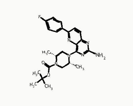 C[C@@H]1CN(c2nc(N)nc3ccc(-c4ccc(F)cc4)nc23)[C@H](C)CN1C(=O)OC(C)(C)C